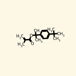 C=C(C)C(=O)OC(C)(C)c1ccc(C(C)(C)C)cc1